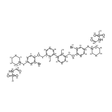 Cc1c(COc2ccc(CN3CCCC[C@H]3C(=O)NS(C)(=O)=O)cc2Br)cccc1-c1cccc(COc2ccc(CN3CCCC[C@H]3C(=O)NS(C)(=O)=O)cc2Br)c1C